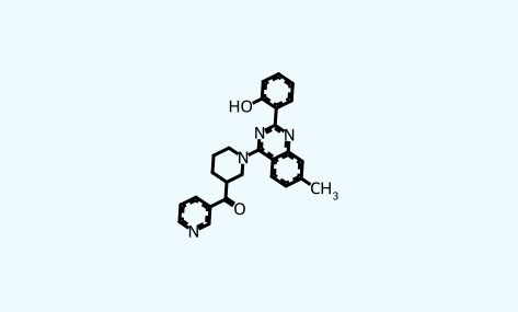 Cc1ccc2c(N3CCCC(C(=O)c4cccnc4)C3)nc(-c3ccccc3O)nc2c1